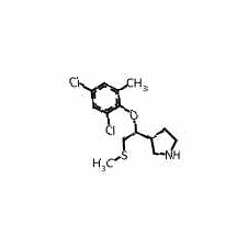 CSC[C@@H](Oc1c(C)cc(Cl)cc1Cl)[C@H]1CCNC1